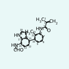 C=C(C)C(=O)Nc1cccc(-c2ccc(NC=O)c3[nH]ccc23)c1C